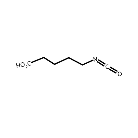 O=C=NCCCCC(=O)O